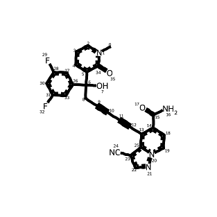 Cn1cccc(C(O)(CC#CC#Cc2c(C(N)=O)ccn3ncc(C#N)c23)c2cc(F)cc(F)c2)c1=O